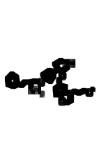 COCCCN1CCOc2ccc(COC3CNCCC3c3ccc(OCC(N)CCc4ccccc4)cc3)cc21